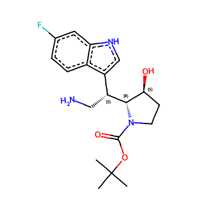 CC(C)(C)OC(=O)N1CC[C@H](O)[C@H]1[C@H](CN)c1c[nH]c2cc(F)ccc12